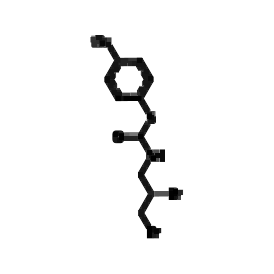 CC(C)(C)c1ccc(SC(=O)NCC(Br)CBr)cc1